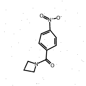 O=C(c1ccc([N+](=O)[O-])cc1)N1CCC1